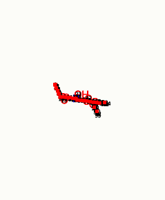 CCCCCCCCCC(C)OC(=O)OCCCCCN(CCO)CCCCCCOC(=O)CCC(OCCCCCCCC)OCCCCCCCC